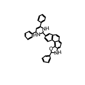 C1=C(c2ccccc2)NC(c2ccc3c(ccc4ccc5c(c43)OC(c3ccccc3)N5)c2)NC1c1ccccc1